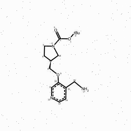 CC(C)(C)OC(=O)N1CC[C@H](COc2cnccc2CN)C1